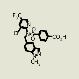 Cn1ncc2cc(CN(c3ncc(C(F)(F)F)cc3Cl)S(=O)(=O)c3ccc(C(=O)O)cc3)ccc21